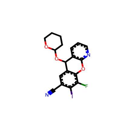 N#Cc1cc2c(c(F)c1I)Oc1ncccc1C2OC1CCCCO1